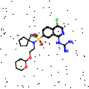 N=C(N)Nc1ncc(Cl)c2ccc(S(=O)(=O)N(CCOC3CCCCO3)C3(C(=O)O)CCCC3)cc12